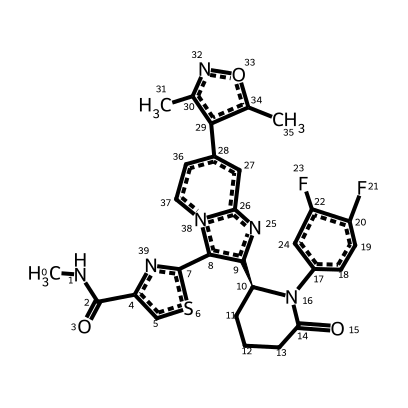 CNC(=O)c1csc(-c2c([C@@H]3CCCC(=O)N3c3ccc(F)c(F)c3)nc3cc(-c4c(C)noc4C)ccn23)n1